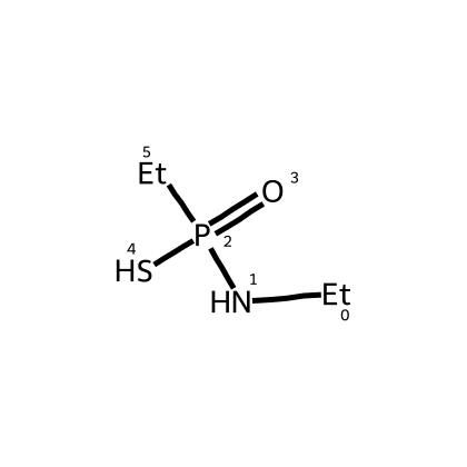 CCNP(=O)(S)CC